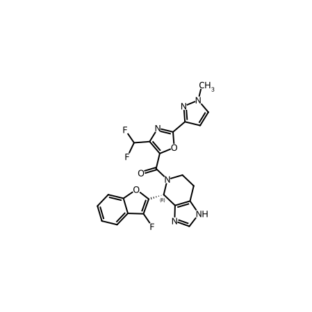 Cn1ccc(-c2nc(C(F)F)c(C(=O)N3CCc4[nH]cnc4[C@@H]3c3oc4ccccc4c3F)o2)n1